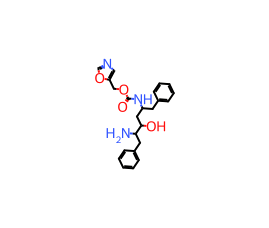 NC(Cc1ccccc1)C(O)CC(Cc1ccccc1)NC(=O)OCc1cnco1